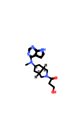 CN(c1ncnc2[nH]ccc12)[C@H]1C[C@@H]2CN(C(=O)CCO)C[C@@H]2C1